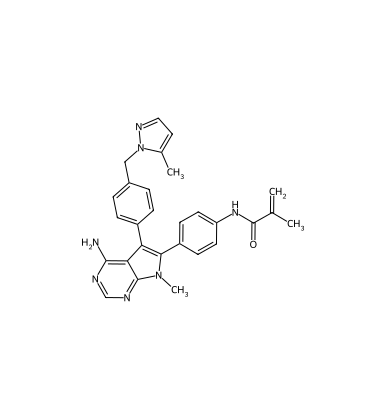 C=C(C)C(=O)Nc1ccc(-c2c(-c3ccc(Cn4nccc4C)cc3)c3c(N)ncnc3n2C)cc1